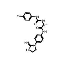 C[C@@H](NC(=O)Nc1ccc(Cl)cc1)C(=O)Nc1ccc(N2CCNC2=N)cc1